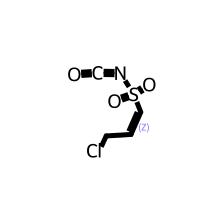 O=C=NS(=O)(=O)/C=C\CCl